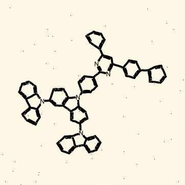 c1ccc(-c2ccc(-c3cc(-c4ccccc4)nc(-c4ccc(-n5c6ccc(-n7c8ccccc8c8ccccc87)cc6c6cc(-n7c8ccccc8c8ccccc87)ccc65)cc4)n3)cc2)cc1